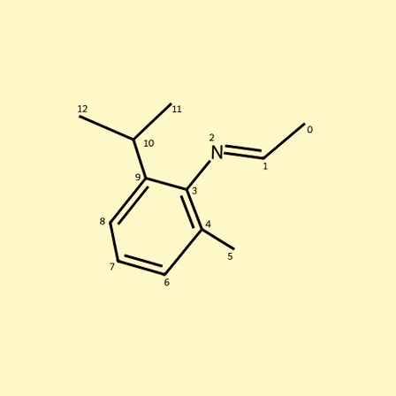 C/C=N/c1c(C)cccc1C(C)C